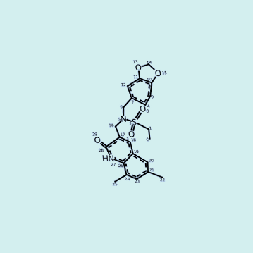 CCS(=O)(=O)N(Cc1ccc2c(c1)OCO2)Cc1cc2cc(C)cc(C)c2[nH]c1=O